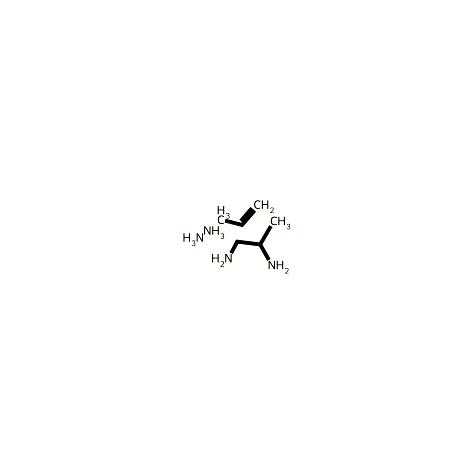 C=CC.CC(N)CN.N.N